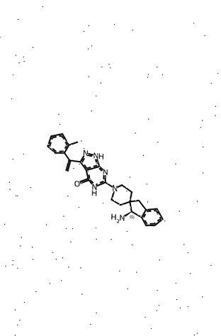 C=C(c1ccccc1C)c1n[nH]c2nc(N3CCC4(CC3)Cc3ccccc3[C@H]4N)[nH]c(=O)c12